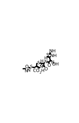 Cc1nnc(SCC2=C(C(=O)O)N3C(=O)C(NC(=O)/C(=N\O)c4csc(=N)[nH]4)[C@H]3SC2)o1